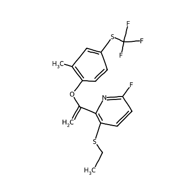 C=C(Oc1ccc(SC(F)(F)F)cc1C)c1nc(F)ccc1SCC